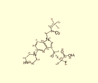 CC(=O)c1cn(CC(=O)OC(C)(C)C)c2ccc(N3CCNCC3)cc12.O=C(O)C(F)(F)F